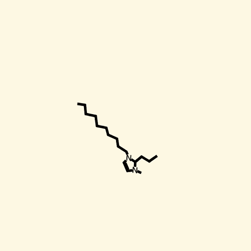 CCCCCCCCCCN1C=CN(C)C1CCC